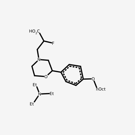 CCCCCCCCOc1ccc(C2CN(CC(F)C(=O)O)CCO2)cc1.CCN(CC)CC